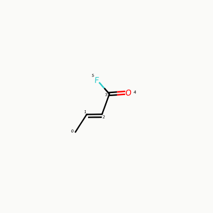 CC=CC(=O)F